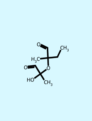 CCC(C)(C=O)OC(C)(O)C=O